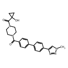 Cn1cc(-c2ccc(-c3ccc(C(=O)N4CCN(C(=O)C5(O)CC5)CC4)cc3)cc2)nn1